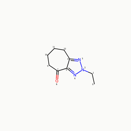 CCn1nc2c(n1)C(=O)CCCC2